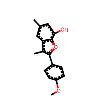 COc1ccc(-c2oc3c(O)cc(C)cc3c2C)cc1